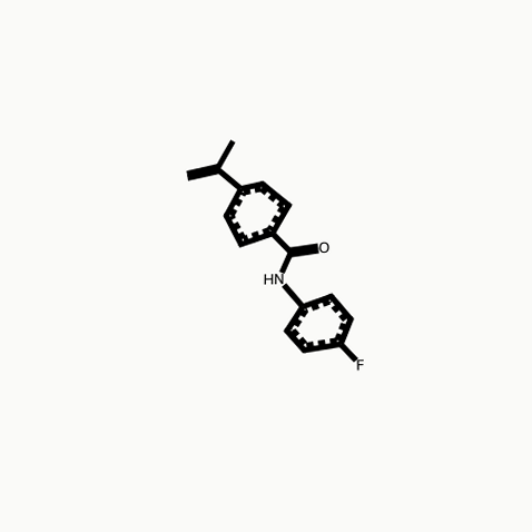 C=C(C)c1ccc(C(=O)Nc2ccc(F)cc2)cc1